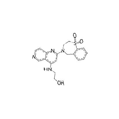 O=S1(=O)CCN(c2cc(NCCO)c3cnccc3n2)Cc2ccccc21